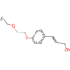 CCOCCOc1ccc(/C=C/CO)cc1